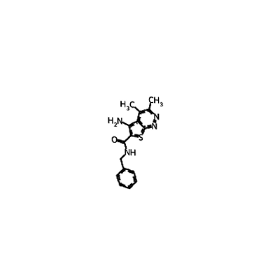 Cc1nnc2sc(C(=O)NCc3ccccc3)c(N)c2c1C